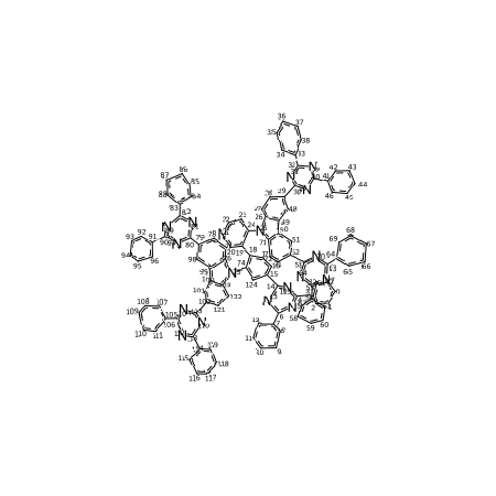 c1ccc(-c2nc(-c3ccccc3)nc(-c3ccc(-c4cnccc4-n4c5ccc(-c6nc(-c7ccccc7)nc(-c7ccccc7)n6)cc5c5cc(-c6nc(-c7ccccc7)nc(-c7ccccc7)n6)ccc54)c(-n4c5ccc(-c6nc(-c7ccccc7)nc(-c7ccccc7)n6)cc5c5cc(-c6nc(-c7ccccc7)nc(-c7ccccc7)n6)ccc54)c3)n2)cc1